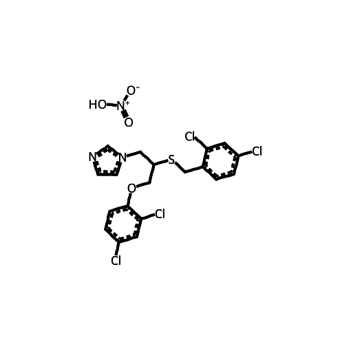 Clc1ccc(CSC(COc2ccc(Cl)cc2Cl)Cn2ccnc2)c(Cl)c1.O=[N+]([O-])O